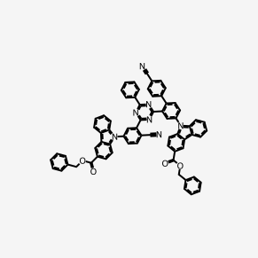 N#Cc1ccc(-c2ccc(-n3c4ccccc4c4cc(C(=O)OCc5ccccc5)ccc43)cc2-c2nc(-c3ccccc3)nc(-c3cc(-n4c5ccccc5c5cc(C(=O)OCc6ccccc6)ccc54)ccc3C#N)n2)cc1